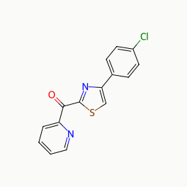 O=C(c1ccccn1)c1nc(-c2ccc(Cl)cc2)cs1